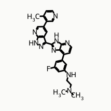 Cc1ccncc1-c1cnc2[nH]nc(-c3nc4c(-c5cc(F)cc(NCCN(C)C)c5)ccnc4[nH]3)c2c1